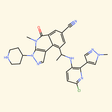 CC(Nc1ccc(Cl)nc1-c1cnn(C)c1)c1cc(C#N)cc2c(=O)n(C)c3c(cnn3C3CCNCC3)c12